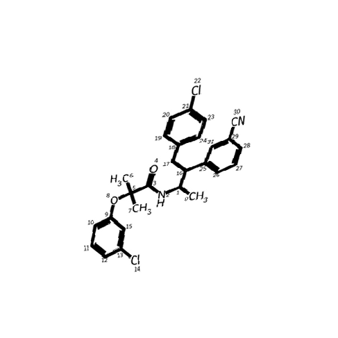 CC(NC(=O)C(C)(C)Oc1cccc(Cl)c1)C(Cc1ccc(Cl)cc1)c1cccc(C#N)c1